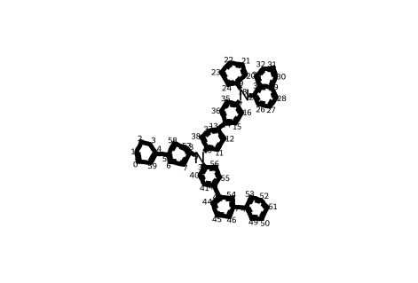 C1=CCCC(c2ccc(N(c3ccc(-c4ccc(N(c5ccccc5)c5cccc6ccccc56)cc4)cc3)c3ccc(-c4cccc(-c5ccccc5)c4)cc3)cc2)=C1